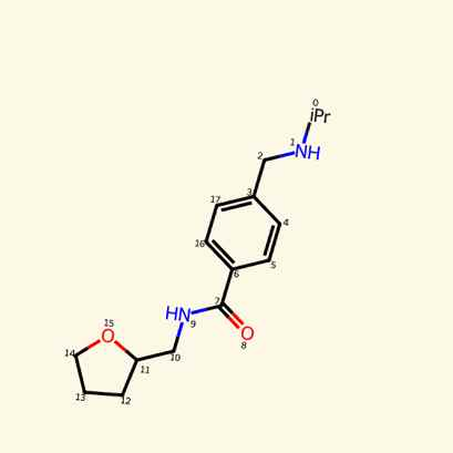 CC(C)NCc1ccc(C(=O)NCC2CCCO2)cc1